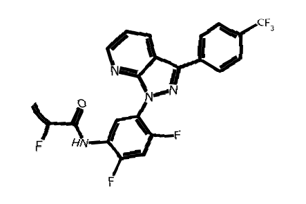 C=C(F)C(=O)Nc1cc(-n2nc(-c3ccc(C(F)(F)F)cc3)c3cccnc32)c(F)cc1F